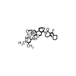 CN/C(C)=C\C(=N)N/C(C)=C/C(=C\N(C)C=O)c1ccnc(N2CCc3c(c(F)c4n3CCCC4)C2=O)c1C=O